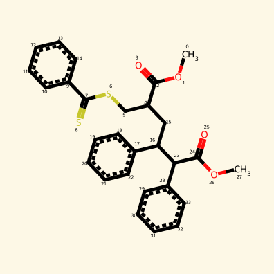 COC(=O)C(CSC(=S)c1ccccc1)CC(c1ccccc1)C(C(=O)OC)c1ccccc1